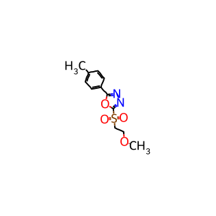 COCCS(=O)(=O)c1nnc(-c2ccc(C)cc2)o1